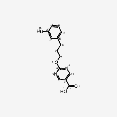 O=C(O)c1cnc(OCCCc2cccc(O)c2)nc1